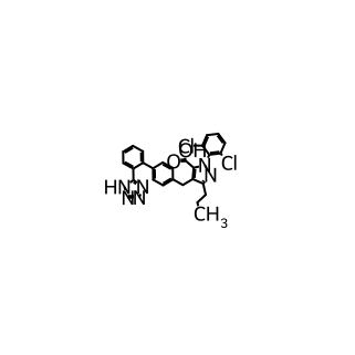 CCCc1nn(-c2c(Cl)cccc2Cl)c(C(=O)O)c1Cc1ccc(-c2ccccc2-c2nnn[nH]2)cc1